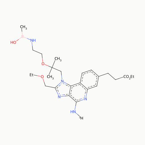 [3H]Nc1nc2cc(CCC(=O)OCC)ccc2c2c1nc(COCC)n2CC(C)(C)OCCNB(C)O